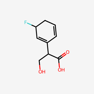 O=C(O)C(CO)C1=CC(F)CC=C1